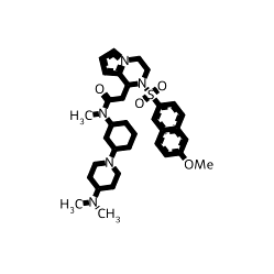 COc1ccc2cc(S(=O)(=O)N3CCn4cccc4C3CC(=O)N(C)C3CCCC(N4CCC(N(C)C)CC4)C3)ccc2c1